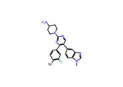 Cn1cnc2cc(-c3cnc(N4CCC(N)CC4)nc3-c3ccc(C#N)c(F)c3)ccc21